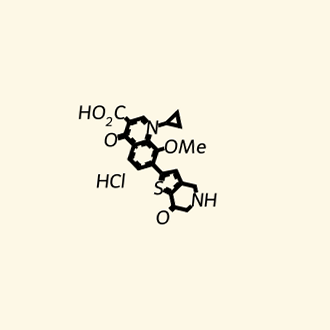 COc1c(-c2cc3c(s2)C(=O)CNC3)ccc2c(=O)c(C(=O)O)cn(C3CC3)c12.Cl